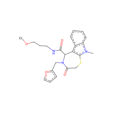 CCOCCCNC(=O)C1c2c(n(C)c3ccccc23)SCC(=O)N1Cc1ccco1